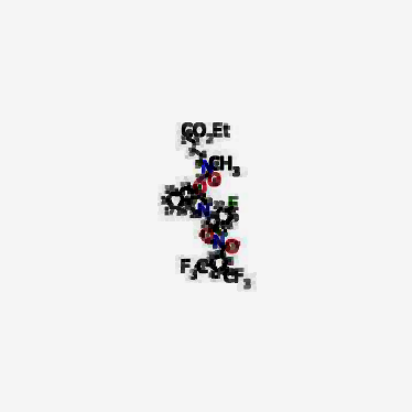 CCOC(=O)CCCCCN(C)C(=O)CO[C@H]1Cc2ccccc2C12CCN(CC[C@]1(c3ccc(F)cc3)CN(C(=O)c3cc(C(F)(F)F)cc(C(F)(F)F)c3)CO1)CC2